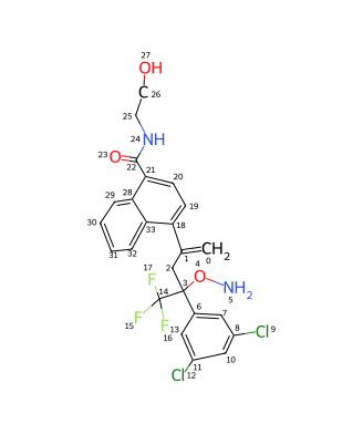 C=C(CC(ON)(c1cc(Cl)cc(Cl)c1)C(F)(F)F)c1ccc(C(=O)NCCO)c2ccccc12